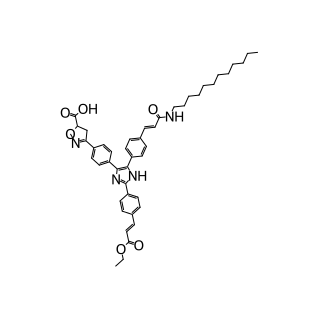 CCCCCCCCCCCCNC(=O)C=Cc1ccc(-c2[nH]c(-c3ccc(C=CC(=O)OCC)cc3)nc2-c2ccc(C3=NOC(C(=O)O)C3)cc2)cc1